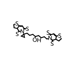 OC(CCCCN1C(=S)C=C2SCCC2C1=S)CCCC1(N2C(=S)C=C3SCCC3C2=S)CC1